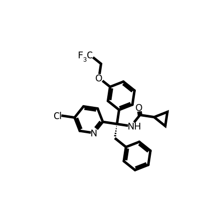 O=C(N[C@](Cc1ccccc1)(c1cccc(OCC(F)(F)F)c1)c1ccc(Cl)cn1)C1CC1